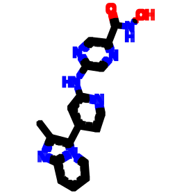 Cc1nc2ccccn2c1-c1ccnc(Nc2cnc(C(=O)NO)cn2)c1